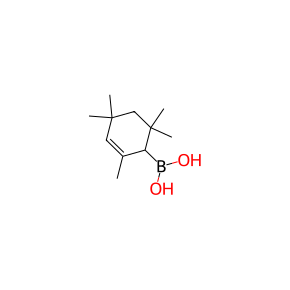 CC1=CC(C)(C)CC(C)(C)C1B(O)O